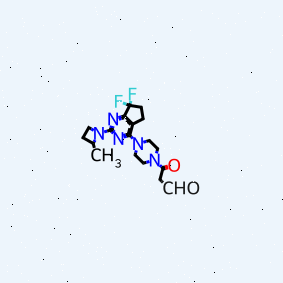 CC1CCN1c1nc(N2CCN(C(=O)CC=O)CC2)c2c(n1)C(F)(F)CC2